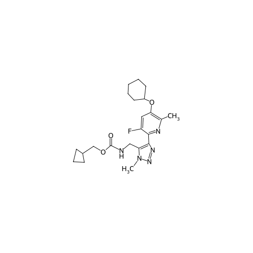 Cc1nc(-c2nnn(C)c2CNC(=O)OCC2CCC2)c(F)cc1OC1CCCCC1